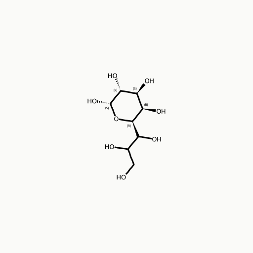 OCC(O)C(O)[C@H]1O[C@H](O)[C@H](O)[C@@H](O)[C@H]1O